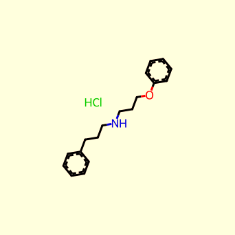 Cl.c1ccc(CCCNCCCOc2ccccc2)cc1